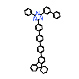 c1ccc(-c2cccc(-c3nc(-c4ccccc4)nc(-c4ccc(-c5ccc(-c6ccc(-c7ccc8c(c7)-c7ccccc7C87CCCCC7)cc6)cc5)cc4)n3)c2)cc1